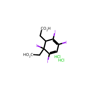 Cl.Cl.O=C(O)CC1C(I)=C(I)C=C(I)C1(I)CC(=O)O